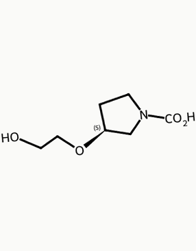 O=C(O)N1CC[C@H](OCCO)C1